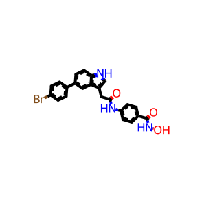 O=C(Cc1c[nH]c2ccc(-c3ccc(Br)cc3)cc12)Nc1ccc(C(=O)NO)cc1